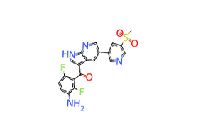 CS(=O)(=O)c1cncc(-c2cnc3[nH]cc(C(=O)c4c(F)ccc(N)c4F)c3c2)c1